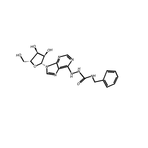 O=C(NCc1ccccc1)NNc1ncnc2c1ncn2[C@@H]1O[C@H](CO)[C@@H](O)[C@H]1O